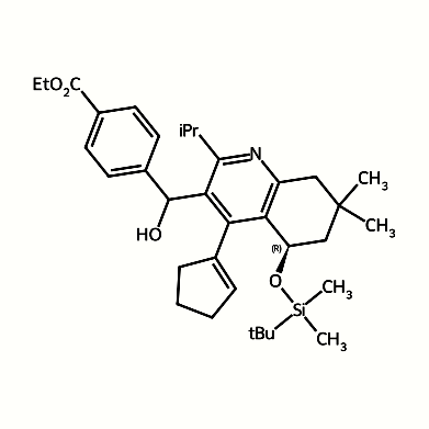 CCOC(=O)c1ccc(C(O)c2c(C(C)C)nc3c(c2C2=CCCC2)[C@H](O[Si](C)(C)C(C)(C)C)CC(C)(C)C3)cc1